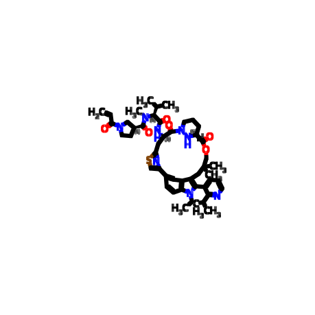 C=CC(=O)N1CC[C@H](C(=O)N(C)[C@H](C(=O)N[C@H]2Cc3nc(cs3)-c3ccc4c(c3)c(c(-c3cccnc3C(C)C)n4CC)CC(C)(C)COC(=O)[C@@H]3CCCN(N3)C2=O)C(C)C)C1